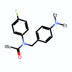 CCN(CC)c1ccc(CN(C(=O)C(C)(C)C)c2ccc(F)cc2)cc1